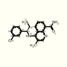 Cc1cnc2c(C(N)=O)cccc2c1N[C@H](CN)c1cccc(Cl)c1